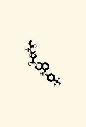 C=CC(=O)Nc1nc(C(=O)N2CCc3c(cccc3Nc3ccc(C(F)(F)F)cc3)C2)cs1